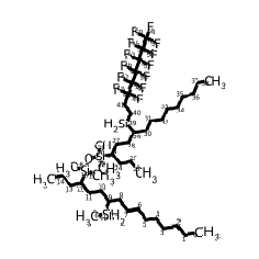 CCCCCCCCCC(CCC(CCC)[Si](C)(C)O[Si](C)(C)C(CCC)CCC(CCCCCCCCC)[SiH2]CCC(F)(F)C(F)(F)C(F)(F)C(F)(F)C(F)(F)C(F)(F)F)[SiH2]C